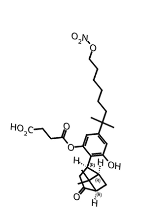 CC(C)(CCCCCCO[N+](=O)[O-])c1cc(O)c([C@@H]2CC(=O)[C@@H]3C[C@H]2C3(C)C)c(OC(=O)CCC(=O)O)c1